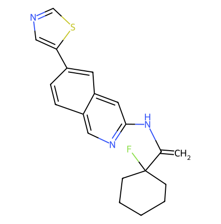 C=C(Nc1cc2cc(-c3cncs3)ccc2cn1)C1(F)CCCCC1